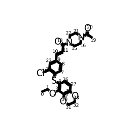 CCOc1c(Sc2ccc(C=CC(=O)N3CCN(C(C)=O)CC3)cc2Cl)ccc2c1OCCO2